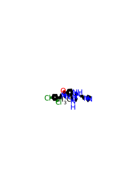 C[C@H]1CN(/C(=N\CCCn2ccnc2)Nc2ccc3c(=O)n(CCc4ccc(Cl)cc4Cl)cnc3c2)CCN1